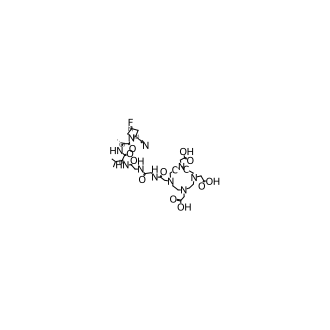 CC(C)[C@H](NC(=O)CNC(=O)CNC(=O)CN1CCN(CC(=O)O)CCN(CC(=O)O)CCN(CC(=O)O)CC1)C(=O)N[C@H](C)C(=O)N1C[C@@H](F)C[C@H]1C#N